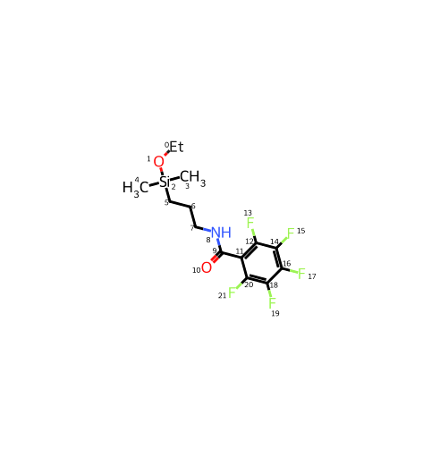 CCO[Si](C)(C)CCCNC(=O)c1c(F)c(F)c(F)c(F)c1F